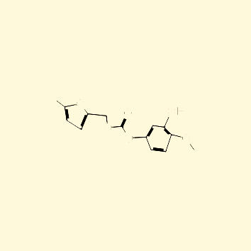 COc1ccc(OC(=O)OCc2ccc(C)o2)cc1O